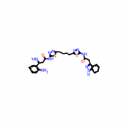 N=C(CC(=O)Nc1nnc(CCCCc2nnc(NC(=O)Cc3n[nH]c4ccccc34)s2)s1)c1ccccc1N